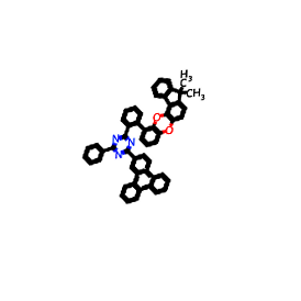 CC1(C)c2ccccc2-c2c1ccc1c2Oc2c(cccc2-c2ccccc2-c2nc(-c3ccccc3)nc(-c3ccc4c5ccccc5c5ccccc5c4c3)n2)O1